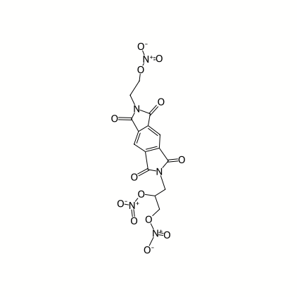 O=c1c2cc3c(=O)n(CC(CO[N+](=O)[O-])O[N+](=O)[O-])c(=O)c3cc2c(=O)n1CCO[N+](=O)[O-]